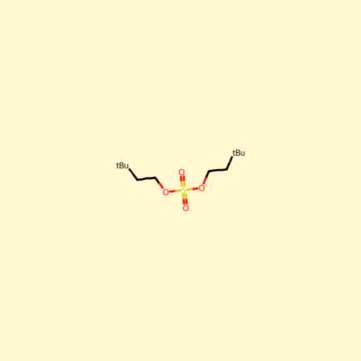 CC(C)(C)CCOS(=O)(=O)OCCC(C)(C)C